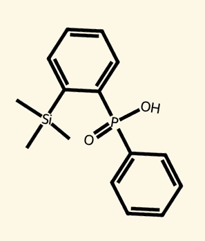 C[Si](C)(C)c1ccccc1P(=O)(O)c1ccccc1